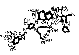 COc1cc(N=Nc2c(S(=O)(=O)O)cc3cc(S(=O)(=O)O)c(N=Nc4c(C)c(C#N)c5nc6ccccc6n5c4O)cc3c2O)c(N(CCCS(=O)(=O)O)CCCS(=O)(=O)O)cc1N=Nc1nc2cc(S(=O)(=O)O)c(OC)c(S(=O)(=O)O)c2s1